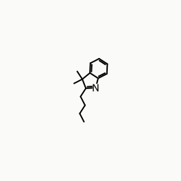 CCCCC1=Nc2ccccc2C1(C)C